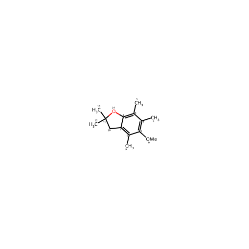 COc1c(C)c(C)c2c(c1C)CC(C)(C)O2